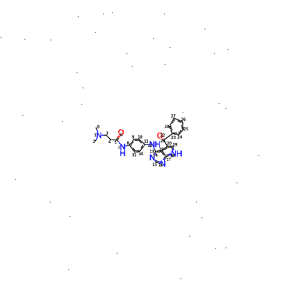 CN(C)CCC(=O)Nc1ccc(Nc2ncnc3[nH]cc(C(=O)c4ccccc4)c23)cc1